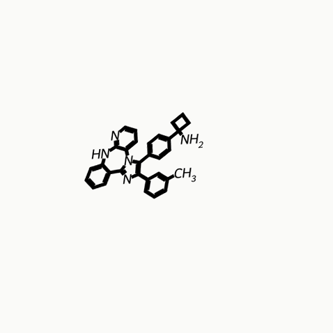 Cc1cccc(-c2nc3n(c2-c2ccc(C4(N)CCC4)cc2)-c2cccnc2Nc2ccccc2-3)c1